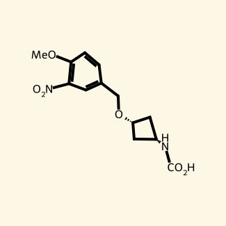 COc1ccc(CO[C@H]2C[C@@H](NC(=O)O)C2)cc1[N+](=O)[O-]